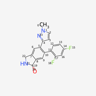 Cn1ccc(-c2cc3c(cc2-c2ccc(F)cc2F)C(=O)NC3)n1